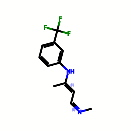 C/N=C\C=C(/C)Nc1cccc(C(F)(F)F)c1